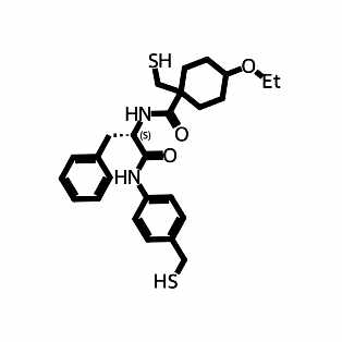 CCOC1CCC(CS)(C(=O)N[C@@H](Cc2ccccc2)C(=O)Nc2ccc(CS)cc2)CC1